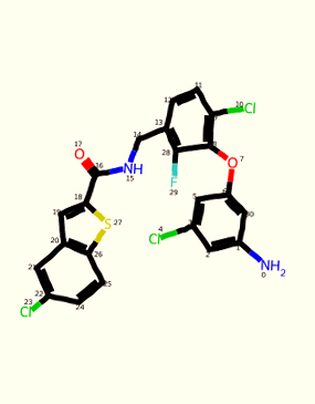 Nc1cc(Cl)cc(Oc2c(Cl)ccc(CNC(=O)c3cc4cc(Cl)ccc4s3)c2F)c1